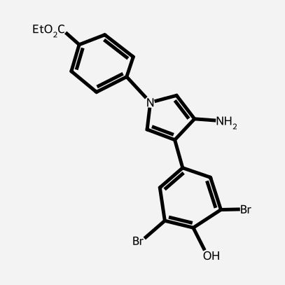 CCOC(=O)c1ccc(-n2cc(N)c(-c3cc(Br)c(O)c(Br)c3)c2)cc1